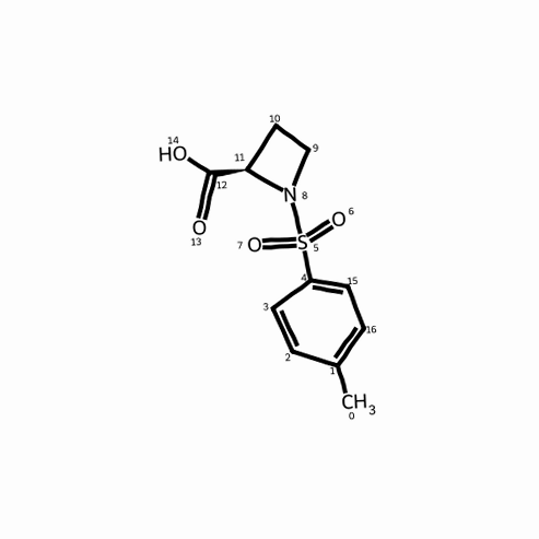 Cc1ccc(S(=O)(=O)N2CC[C@@H]2C(=O)O)cc1